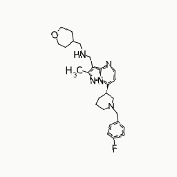 Cc1nn2c([C@@H]3CCCN(Cc4ccc(F)cc4)C3)ccnc2c1CNCC1CCOCC1